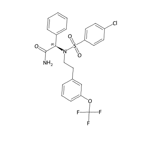 NC(=O)[C@@H](c1ccccc1)N(CCc1cccc(OC(F)(F)F)c1)S(=O)(=O)c1ccc(Cl)cc1